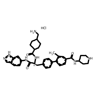 Cc1cc(C(=O)NC2CCNCC2)ccc1-c1ccc(C[C@H](NC(=O)C2CCC(CN)CC2)C(=O)Nc2ccc3cn[nH]c3c2)cc1.Cl